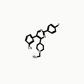 CC(C)(C)CN1CCC(c2nc(-c3ccc(F)cc3)ncc2-c2cccc(C#N)c2)CC1